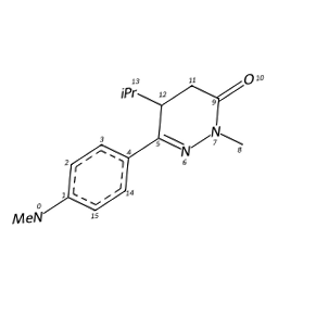 CNc1ccc(C2=NN(C)C(=O)CC2C(C)C)cc1